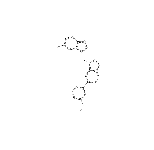 CCOc1cccc(-c2cnc3cnn(Cc4cnc5ccc(N=O)cn45)c3c2)c1